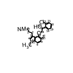 CNCCc1cn(C)c2ccc(F)c(OCC(O)c3ccccc3Cl)c12